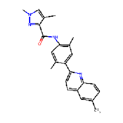 Cc1cc(-c2ccc3cc(C(F)(F)F)ccc3n2)c(C)cc1NC(=O)c1nn(C)cc1C